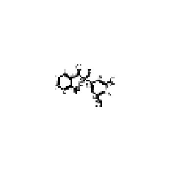 O=C(c1ccccc1F)C(F)(F)c1cc(Cl)cc(Cl)c1